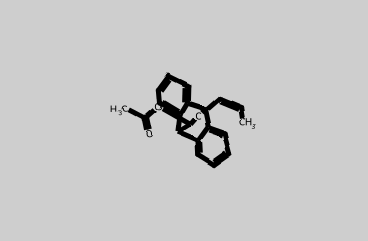 C/C=C\C12CC(OC(C)=O)C(c3ccccc31)c1ccccc12